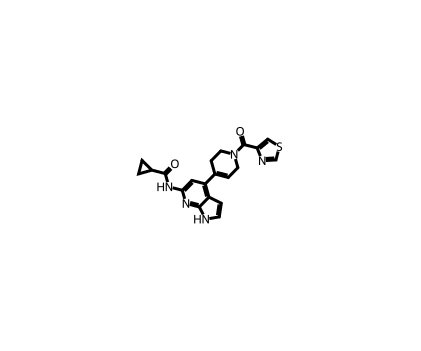 O=C(Nc1cc(C2=CCN(C(=O)c3cscn3)CC2)c2cc[nH]c2n1)C1CC1